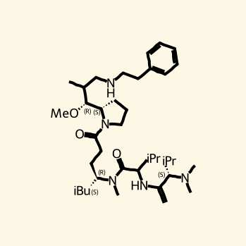 C=C(NC(C(=O)N(C)[C@H](CCC(=O)N1CCC[C@H]1[C@H](OC)C(C)CNCCc1ccccc1)[C@@H](C)CC)C(C)C)[C@H](C(C)C)N(C)C